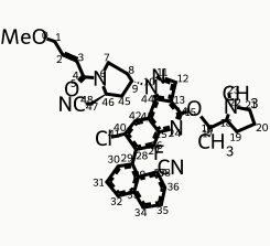 COC/C=C/C(=O)N1CC[C@H](n2ncc3c(O[C@@H](C)C4CCCN4C)nc4c(F)c(-c5cccc6cccc(C#N)c56)c(Cl)cc4c32)C[C@H]1CC#N